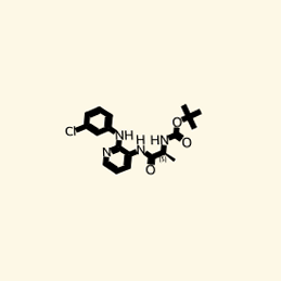 C[C@H](NC(=O)OC(C)(C)C)C(=O)Nc1cccnc1Nc1cccc(Cl)c1